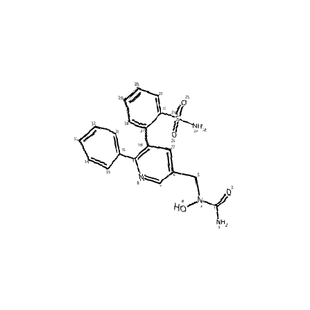 NC(=O)N(O)Cc1cnc(-c2ccccc2)c(-c2ccccc2S(N)(=O)=O)c1